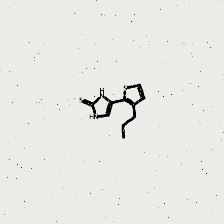 CCCc1ccsc1-c1c[nH]c(=S)[nH]1